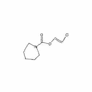 O=C(OC=CCl)N1CCCCC1